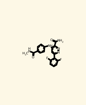 CNC(=O)c1ccc(Nc2cc(-c3c(F)cccc3F)nnc2C(N)=O)cc1